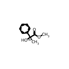 COC(=O)[C@](C)(O)c1ccccc1